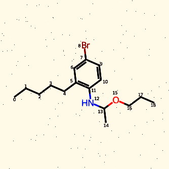 CCCCCc1cc(Br)ccc1NC(C)OCCC